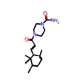 CC1=CCC(C)C(C)(C)C1C=CC(=O)N1CCN(C(N)=O)CC1